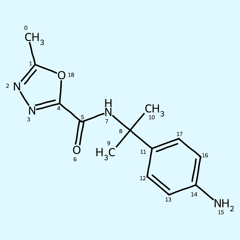 Cc1nnc(C(=O)NC(C)(C)c2ccc(N)cc2)o1